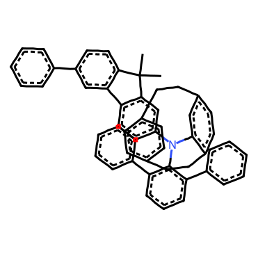 CC1(C)c2ccc(-c3ccccc3)cc2-c2ccc(N(c3cc4ccc3CCc3ccc(cc3)CC4)c3c(-c4ccccc4)cccc3-c3ccccc3)cc21